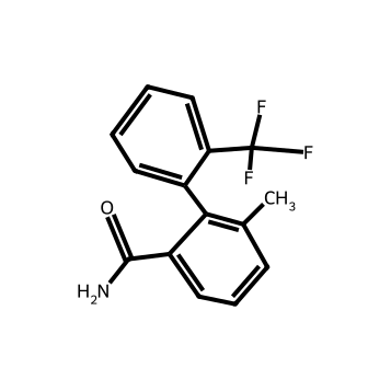 Cc1cccc(C(N)=O)c1-c1ccccc1C(F)(F)F